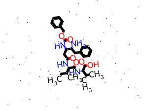 CC[C@H](C)[C@H](NC(=O)CC(NC(=O)OCc1ccccc1)C(N)Cc1ccccc1)C(=O)N[C@H](C(=O)O)C(C)C